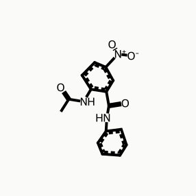 CC(=O)Nc1ccc([N+](=O)[O-])cc1C(=O)Nc1ccccc1